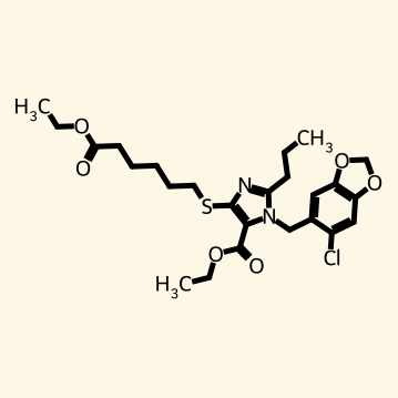 CCCc1nc(SCCCCCC(=O)OCC)c(C(=O)OCC)n1Cc1cc2c(cc1Cl)OCO2